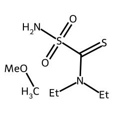 CCN(CC)C(=S)S(N)(=O)=O.COC